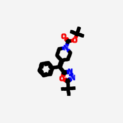 CC(C)(C)OC(=O)N1CCC(=C(c2ccccc2)c2nnc(C(C)(C)C)o2)CC1